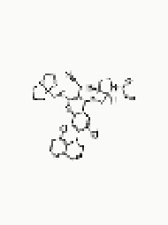 C=CC(=O)N1CC[C@@H]2[C@H]1CN2c1c(CC#N)c(OCC23CCCN2CCC3)nc2cc(-c3cccc4cccc(Cl)c34)c(Cl)cc12